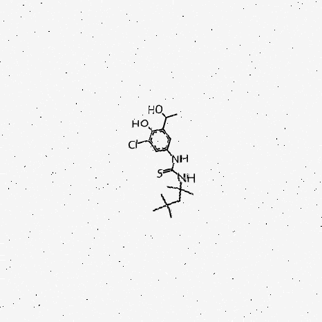 CC(O)c1cc(NC(=S)NC(C)(C)CC(C)(C)C)cc(Cl)c1O